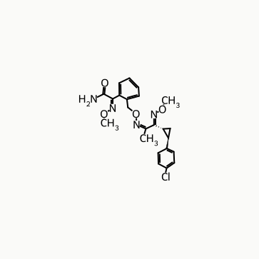 CON=C(C(N)=O)c1ccccc1CON=C(C)C(=NOC)[C@@H]1C[C@H]1c1ccc(Cl)cc1